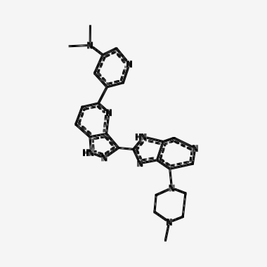 CN1CCN(c2cncc3[nH]c(-c4n[nH]c5ccc(-c6cncc(N(C)C)c6)nc45)nc23)CC1